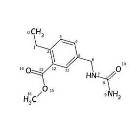 CCc1ccc(CNC(N)=O)cc1C(=O)OC